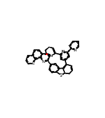 C1=CC(c2cc(C3=CCCC=N3)nc(-c3ccccn3)c2)=C2c3cc(-c4ccc5ccc6cccnc6c5n4)ccc3SC2C1